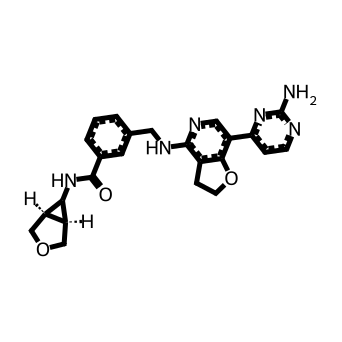 Nc1nccc(-c2cnc(NCc3cccc(C(=O)NC4[C@H]5COC[C@@H]45)c3)c3c2OCC3)n1